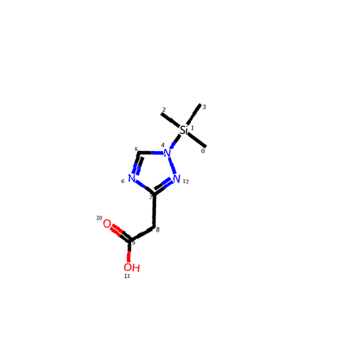 C[Si](C)(C)n1cnc(CC(=O)O)n1